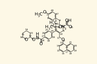 COc1ccc(CCN(CC(COc2cccc3ccccc23)=C(c2ccc(C(=O)NOC3CCCCO3)cc2)C(C)(C)C)C(=O)O)cc1